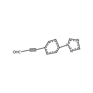 O=CC#Cc1ccc(-n2cncn2)cc1